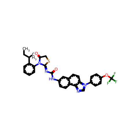 CCC(C)c1ccccc1N1C(=O)CS/C1=N\C(=O)Nc1ccc2c(ccc3c2ncn3-c2ccc(OC(F)(F)F)cc2)c1